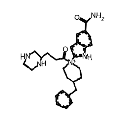 NC(=O)c1ccc2[nH]c([N+]3(C(=O)CCC4CNCCN4)CCC(Cc4ccccc4)CC3)cc2c1